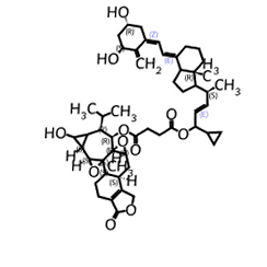 C=C1/C(=C\C=C2/CCC[C@@]3(C)C2CCC3[C@@H](C)/C=C/C(OC(=O)CCC(=O)O[C@@H]2[C@H](C(C)C)C3C(O)[C@H]3[C@@H]3O[C@]34[C@]23O[C@H]3C[C@H]2C3=C(CC[C@@]24C)C(=O)OC3)C2CC2)C[C@@H](O)C[C@@H]1O